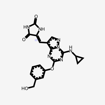 O=C1NC(=O)/C(=C/c2cnn3c(NC4CC4)nc(Oc4cccc(CO)c4)nc23)N1